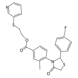 Cc1cc(C(=O)OCCSc2cccnc2)ccc1N1C(=O)CSC1c1ccc(F)cc1